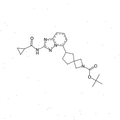 CC(C)(C)OC(=O)N1CC2(CCC(c3cccc4nc(NC(=O)C5CC5)nn34)C2)C1